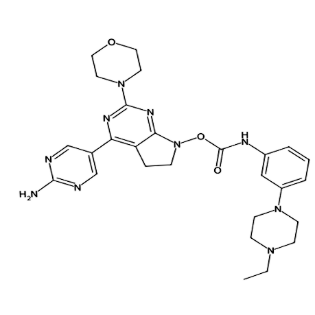 CCN1CCN(c2cccc(NC(=O)ON3CCc4c(-c5cnc(N)nc5)nc(N5CCOCC5)nc43)c2)CC1